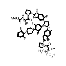 COC(=O)N[C@H](C(=O)N1CCC[C@H]1c1nc2cc([C@@H]3CC[C@@H](c4cc5nc([C@@H]6CCCN6C(=O)[C@H](C(C)C)N(C)C(=O)O)[nH]c5cc4F)N3c3cc(F)c(N4CCN(c5c(F)cccc5F)CC4)c(F)c3)c(F)cc2[nH]1)C(C)C